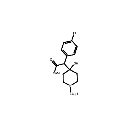 COC(=O)C(c1ccc(Cl)cc1)C1(O)CCN(C(=O)O)CC1